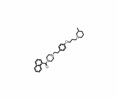 CC1CCCN(CCCOc2ccc(CCN3CCN(C(=O)c4cccc5ccccc45)CC3)cc2)C1